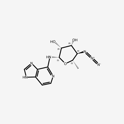 C[C@@H]1O[C@H](Nc2nccc3[nH]cnc23)[C@H](O)[C@H](O)[C@H]1N=[N+]=[N-]